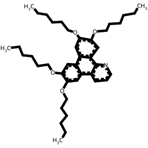 CCCCCCOc1cc2c(cc1OCCCCCC)c1cccnc1c1cc(OCCCCCC)c(OCCCCCC)cc21